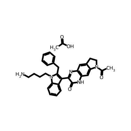 CC(=O)N1CCc2cc3nc(-c4c(Cc5ccccc5)n(CCCCN)c5ccccc45)c(=O)[nH]c3cc21.CC(=O)O